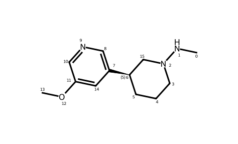 CNN1CCC[C@@H](c2cncc(OC)c2)C1